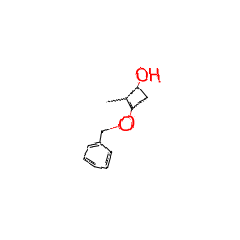 CC1C(O)CC1OCc1ccccc1